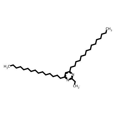 [CH2]Cc1nc(CCCCCCCCCCCCCCC)cc(CCCCCCCCCCCCCCC)n1